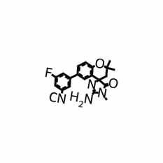 CN1C(=O)C2(CC(C)(C)Oc3ccc(-c4cc(F)cc(C#N)c4)cc32)N=C1N